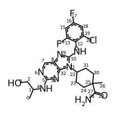 CC(CO)Nc1ncc2nc(Nc3c(F)cc(F)cc3Cl)n(C3CCC(C)(C(N)=O)CC3)c2n1